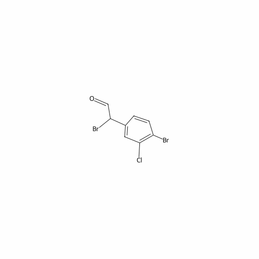 O=CC(Br)c1ccc(Br)c(Cl)c1